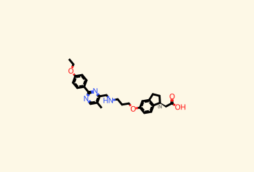 CCOc1ccc(-c2ncc(C)c(CNCCCOc3ccc4c(c3)CC[C@H]4CC(=O)O)n2)cc1